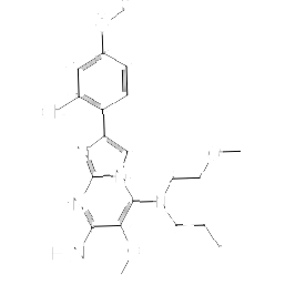 CCCN(CCOC)c1c(OC)c(N)nc2nc(-c3ccc(OC)cc3Cl)cn12